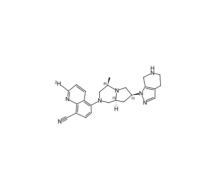 [2H]c1ccc2c(N3C[C@@H]4C[C@H](n5ncc6c5CNCC6)CN4[C@H](C)C3)ccc(C#N)c2n1